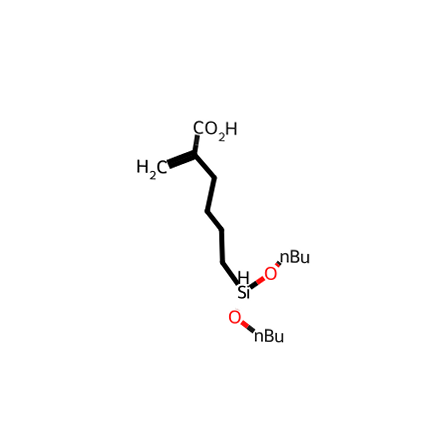 C=C(CCCC[SiH](OCCCC)OCCCC)C(=O)O